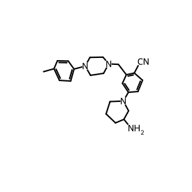 Cc1ccc(N2CCN(Cc3cc(N4CCCC(N)C4)ccc3C#N)CC2)cc1